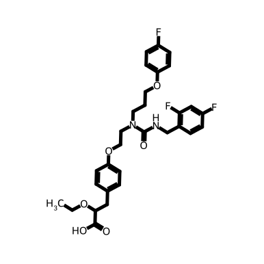 CCOC(Cc1ccc(OCCN(CCCOc2ccc(F)cc2)C(=O)NCc2ccc(F)cc2F)cc1)C(=O)O